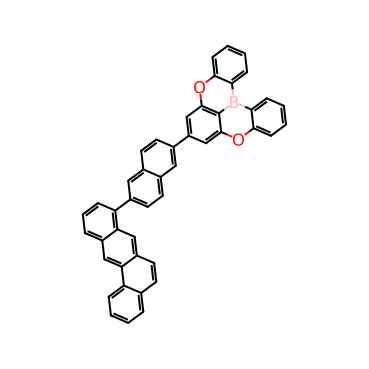 c1ccc2c(c1)Oc1cc(-c3ccc4cc(-c5cccc6cc7c(ccc8ccccc87)cc56)ccc4c3)cc3c1B2c1ccccc1O3